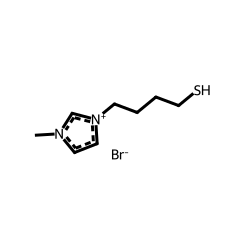 Cn1cc[n+](CCCCS)c1.[Br-]